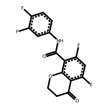 O=C1CCOc2c1c(F)cc(F)c2C(=O)Nc1ccc(F)c(F)c1